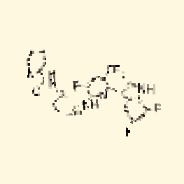 O=C(N[C@H]1CCC[C@@H](Nc2nc(-c3c[nH]c4c(F)cc(F)cc34)c(C(F)(F)F)cc2F)C1)c1ccccn1